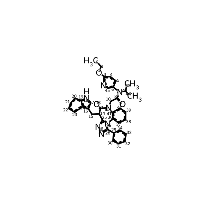 CCOc1ccc(N(C(=O)CN2C(=O)C(Cc3c[nH]c4ccccc34)c3nnc(-c4ccccc4)n3-c3ccccc32)C(C)C)cn1